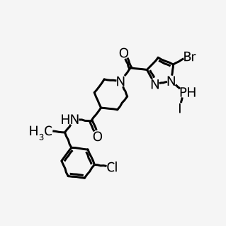 CC(NC(=O)C1CCN(C(=O)c2cc(Br)n(PI)n2)CC1)c1cccc(Cl)c1